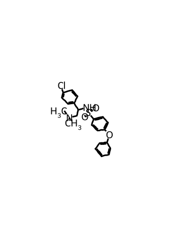 CN(C)CC(NS(=O)(=O)c1ccc(Oc2ccccc2)cc1)c1ccc(Cl)cc1